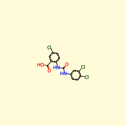 O=C(Nc1ccc(Cl)c(Cl)c1)Nc1ccc(Cl)cc1C(=O)O